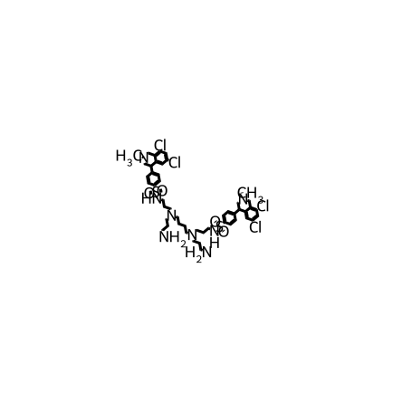 CN1Cc2c(Cl)cc(Cl)cc2C(c2ccc(S(=O)(=O)NCCCN(CCCN)CCCCN(CCCN)CCCNS(=O)(=O)c3ccc(C4CN(C)Cc5c(Cl)cc(Cl)cc54)cc3)cc2)C1